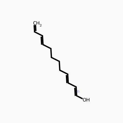 C=CC=CCCCCC=C/C=C/O